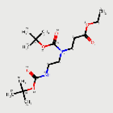 CCOC(=O)CCN(CCNC(=O)OC(C)(C)C)C(=O)OC(C)(C)C